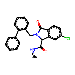 CC(C)(C)NC(=O)C1c2cc(Cl)ccc2C(=O)N1Cc1ccccc1-c1ccccc1